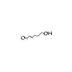 O=[C]C=CCCCO